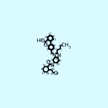 CCCCc1nc2c(n1Cc1ccc(-c3ccccc3C(=O)O)cc1)CC(=NC(=O)C1CCCCC1CC=O)C=C2